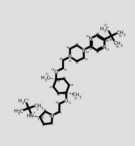 CC(C)(C)N[C@H]1CCN(CCO[C@]2(C)CC[C@](C)(OCCN3CCN(c4cnc(C(C)(C)C)cn4)CC3)CC2)C1